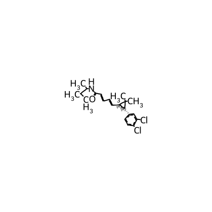 CC(C)C(C)NC(=O)C=CC=C[C@@H]1[C@@H](c2ccc(Cl)c(Cl)c2)C1(C)C